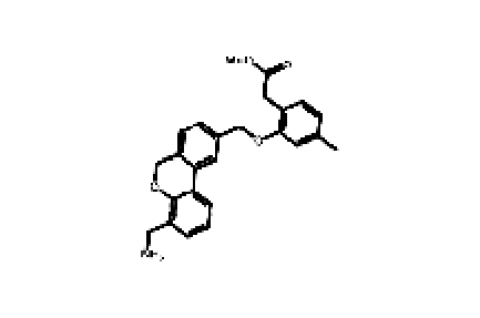 COC(=O)Cc1ccc(C)cc1OCc1ccc2c(c1)-c1cccc(CN)c1OC2